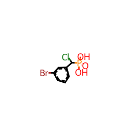 O=P(O)(O)C(Cl)c1cccc(Br)c1